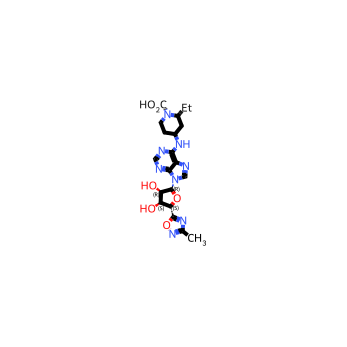 CCC1CC(Nc2ncnc3c2ncn3[C@@H]2O[C@H](c3nc(C)no3)[C@@H](O)[C@H]2O)CCN1C(=O)O